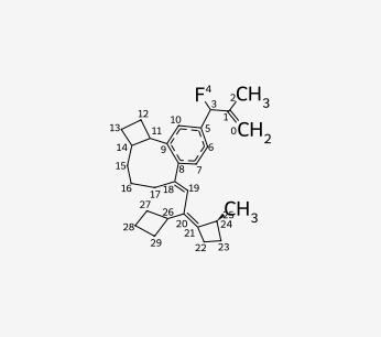 C=C(C)C(F)c1ccc2c(c1)C1CCC1CCC/C2=C\C(=C1\CC[C@@H]1C)C1CCC1